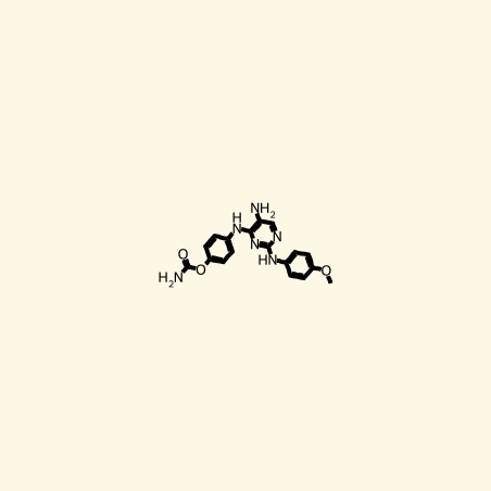 COc1ccc(Nc2ncc(N)c(Nc3ccc(OC(N)=O)cc3)n2)cc1